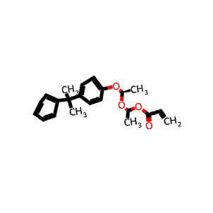 C=CC(=O)OC(C)O[C@H](C)Oc1ccc(C(C)(C)c2ccccc2)cc1